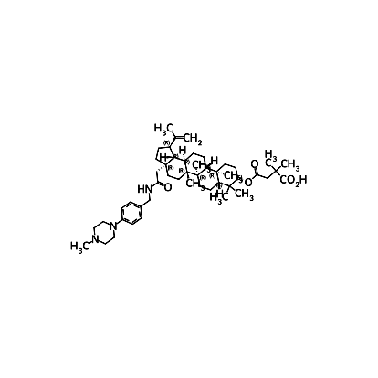 C=C(C)[C@@H]1CC[C@]2(CC(=O)NCc3ccc(N4CCN(C)CC4)cc3)CC[C@]3(C)[C@H](CC[C@@H]4[C@@]5(C)CC[C@H](OC(=O)CC(C)(C)C(=O)O)C(C)(C)[C@@H]5CC[C@]43C)[C@@H]12